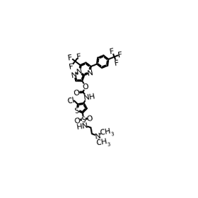 CN(C)CCNS(=O)(=O)c1cc(NC(=O)Oc2cnn3c(C(F)(F)F)cc(-c4ccc(C(F)(F)F)cc4)nc23)c(Cl)s1